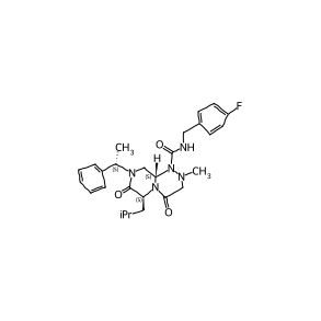 CC(C)C[C@H]1C(=O)N([C@@H](C)c2ccccc2)C[C@H]2N1C(=O)CN(C)N2C(=O)NCc1ccc(F)cc1